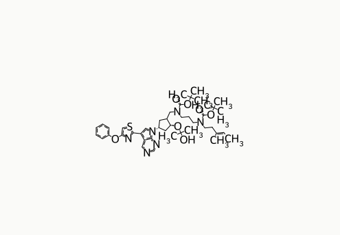 C/C=C(\C)CCN(CCCN(CC1C[C@@H](n2cc(-c3nc(Oc4ccccc4)cs3)c3cncnc32)C[C@@H]1OC(C)(C)O)C(=O)OC(C)(C)C)C(=O)OC(C)(C)C